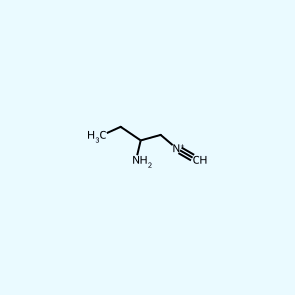 C#[N+]CC(N)CC